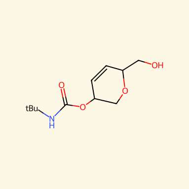 CC(C)(C)NC(=O)OC1C=CC(CO)OC1